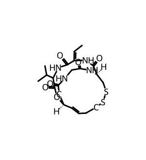 C/C=C1\NC(=O)[C@H]2CSSCC/C=C/[C@H](CC(=O)NCC(=O)N2)OC(=O)C(C(C)C)NC1=O